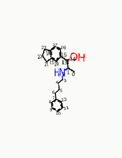 CC(NCCCCc1ccccc1)C(O)c1ccc2c(c1)CCC2